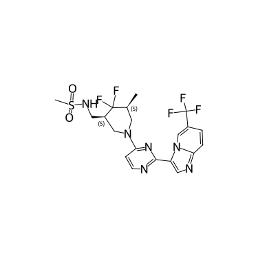 C[C@H]1CN(c2ccnc(-c3cnc4ccc(C(F)(F)F)cn34)n2)C[C@@H](CNS(C)(=O)=O)C1(F)F